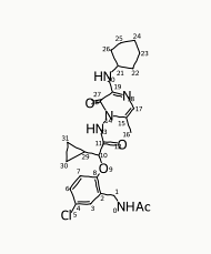 CC(=O)NCc1cc(Cl)ccc1OC(C(=O)Nn1c(C)cnc(NC2CCCCC2)c1=O)C1CC1